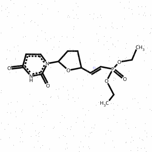 CCOP(=O)(/C=C/C1CCC(n2ccc(=O)[nH]c2=O)O1)OCC